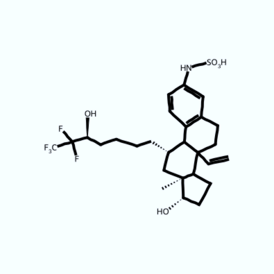 C=CC12CCc3cc(NS(=O)(=O)O)ccc3C1[C@@H](CCCC[C@H](O)C(F)(F)C(F)(F)F)C[C@@]1(C)C2CC[C@@H]1O